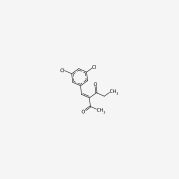 CCC(=O)/C(=C\c1cc(Cl)cc(Cl)c1)C(C)=O